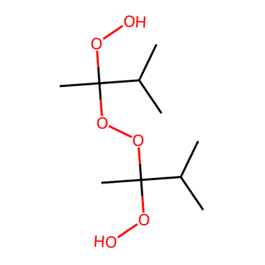 CC(C)C(C)(OO)OOC(C)(OO)C(C)C